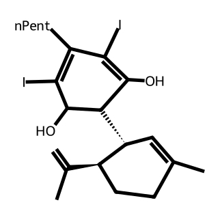 C=C(C)[C@@H]1CCC(C)=C[C@H]1C1C(O)=C(I)C(CCCCC)=C(I)C1O